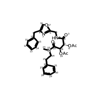 CC(=O)O[C@@H](C(=O)NCc1nc(Cc2ccccc2)co1)[C@@H](OC(C)=O)C(=O)N(C)CCc1ccccc1